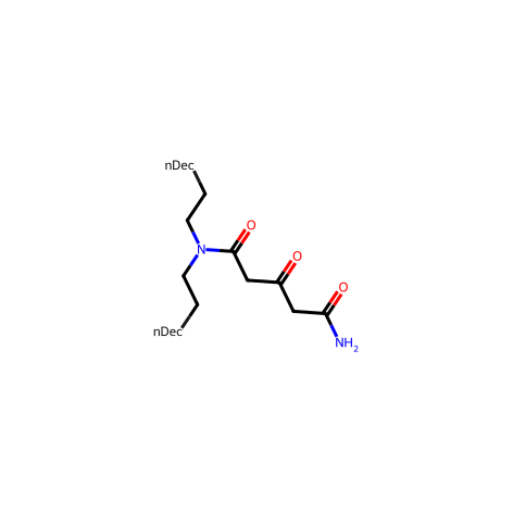 CCCCCCCCCCCCN(CCCCCCCCCCCC)C(=O)CC(=O)CC(N)=O